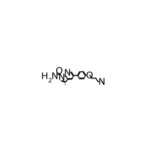 CN(C)CCCOc1ccc(-c2cnc3c([c]cn3C(N)=O)c2)cc1